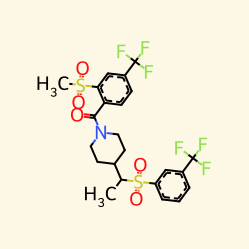 CC(C1CCN(C(=O)c2ccc(C(F)(F)F)cc2S(C)(=O)=O)CC1)S(=O)(=O)c1cccc(C(F)(F)F)c1